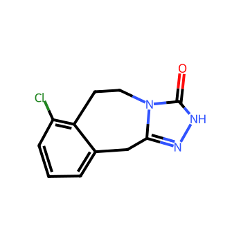 O=c1[nH]nc2n1CCc1c(Cl)cccc1C2